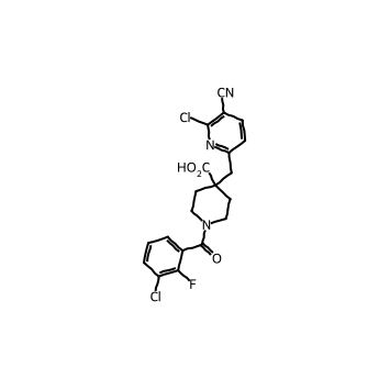 N#Cc1ccc(CC2(C(=O)O)CCN(C(=O)c3cccc(Cl)c3F)CC2)nc1Cl